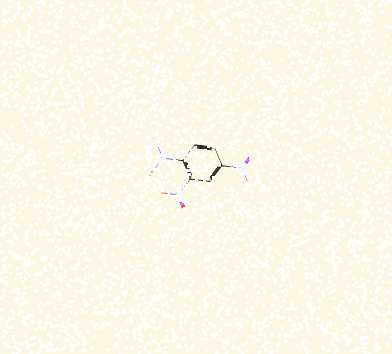 NN([SiH3])c1ccc([N+](=O)[O-])cc1[N+](=O)[O-]